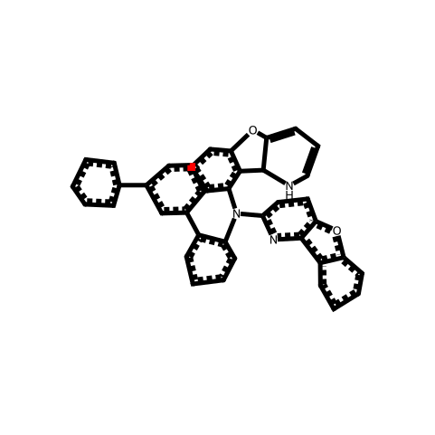 C1=CNC2C(=C1)Oc1cccc(N(c3ccc4oc5ccccc5c4n3)c3ccccc3-c3cccc(-c4ccccc4)c3)c12